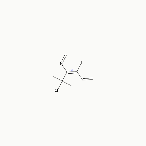 C=C/C(I)=C(/N=C)C(C)(C)Cl